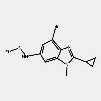 CCSNc1cc(Br)c2nc(C3CC3)n(C)c2c1